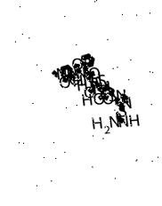 CCN1CCN(C(=O)NC(C(=O)N[C@@H]2C(=O)N3C(C(=O)O)=C(CSc4cc(SCC(=N)N)ncn4)CS[C@@H]23)c2ccccc2)C(=O)C1=O